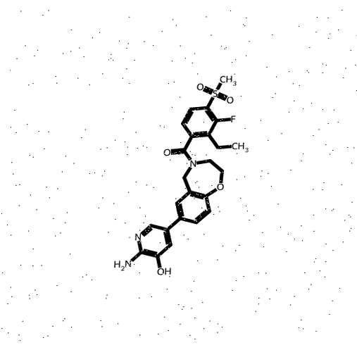 CCc1c(C(=O)N2CCOc3ccc(-c4cnc(N)c(O)c4)cc3C2)ccc(S(C)(=O)=O)c1F